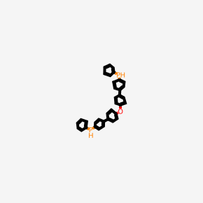 c1ccc(Pc2ccc(-c3ccc(Oc4ccc(-c5ccc(Pc6ccccc6)cc5)cc4)cc3)cc2)cc1